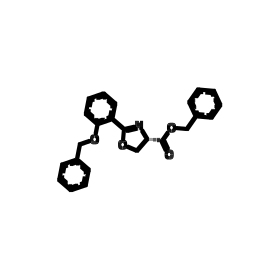 O=C(OCc1ccccc1)[C@@H]1COC(c2ccccc2OCc2ccccc2)=N1